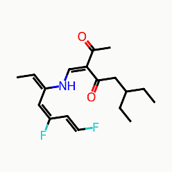 C\C=C(/C=C(F)\C=C\F)N/C=C(/C(C)=O)C(=O)CC(CC)CC